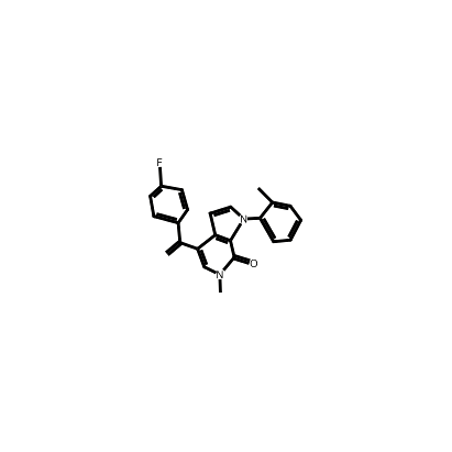 C=C(c1ccc(F)cc1)c1cn(C)c(=O)c2c1ccn2-c1ccccc1C